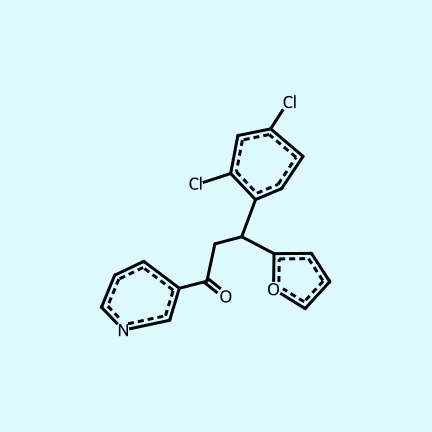 O=C(CC(c1ccco1)c1ccc(Cl)cc1Cl)c1cccnc1